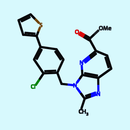 COC(=O)c1ccc2nc(C)n(Cc3ccc(-c4cccs4)cc3Cl)c2n1